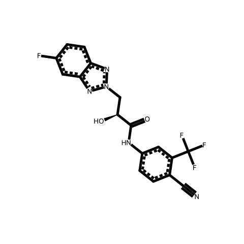 N#Cc1ccc(NC(=O)[C@@H](O)Cn2nc3ccc(F)cc3n2)cc1C(F)(F)F